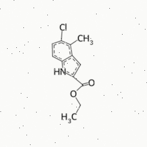 CCOC(=O)c1cc2c(C)c(Cl)ccc2[nH]1